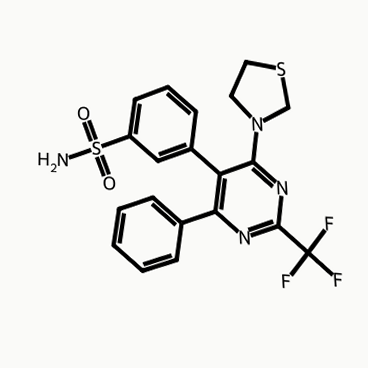 NS(=O)(=O)c1cccc(-c2c(-c3ccccc3)nc(C(F)(F)F)nc2N2CCSC2)c1